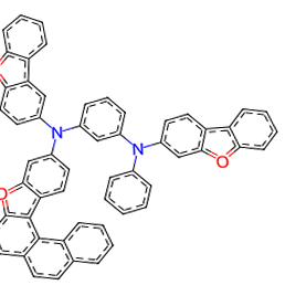 c1ccc(N(c2cccc(N(c3ccc4c(c3)oc3ccc5ccc6ccccc6c5c34)c3ccc4oc5ccccc5c4c3)c2)c2ccc3c(c2)oc2ccccc23)cc1